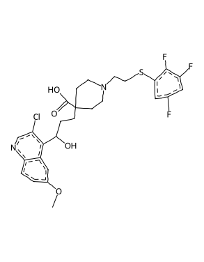 COc1ccc2ncc(Cl)c(C(O)CCC3(C(=O)O)CCN(CCSc4cc(F)cc(F)c4F)CC3)c2c1